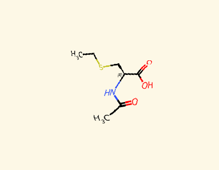 CCSC[C@H](NC(C)=O)C(=O)O